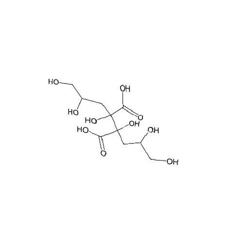 O=C(O)C(O)(CC(O)CO)C(O)(CC(O)CO)C(=O)O